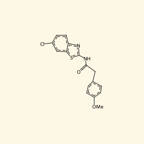 COc1ccc(CC(=O)Nc2nc3ccc(Cl)cc3s2)cc1